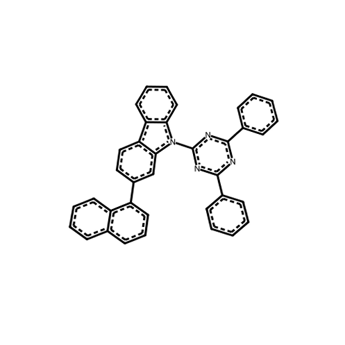 c1ccc(-c2nc(-c3ccccc3)nc(-n3c4ccccc4c4ccc(-c5cccc6ccccc56)cc43)n2)cc1